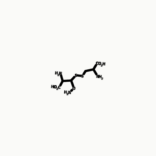 NOC(SSCC(N)C(=O)O)C(N)C(=O)O